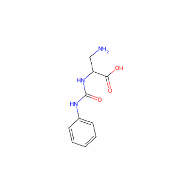 NCC(NC(=O)Nc1ccccc1)C(=O)O